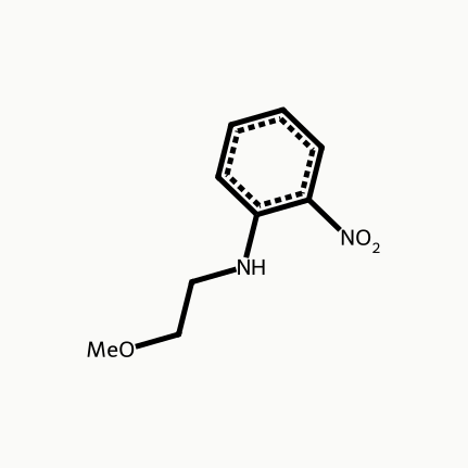 COCCNc1ccccc1[N+](=O)[O-]